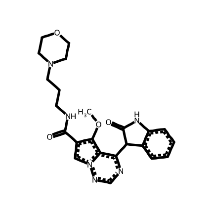 COc1c(C(=O)NCCCN2CCOCC2)cn2ncnc(C3C(=O)Nc4ccccc43)c12